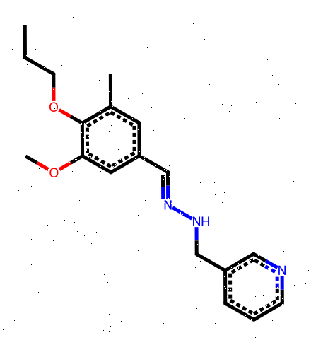 CCCOc1c(C)cc(/C=N/NCc2cccnc2)cc1OC